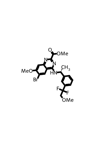 COCC(F)(F)c1cccc([C@@H](C)Nc2nc(C(=O)OC)nc3cc(OC)c(Br)cc23)c1